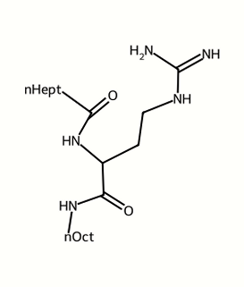 CCCCCCCCNC(=O)C(CCNC(=N)N)NC(=O)CCCCCCC